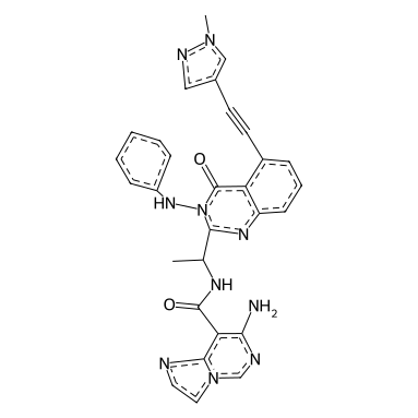 CC(NC(=O)c1c(N)ncn2ccnc12)c1nc2cccc(C#Cc3cnn(C)c3)c2c(=O)n1Nc1ccccc1